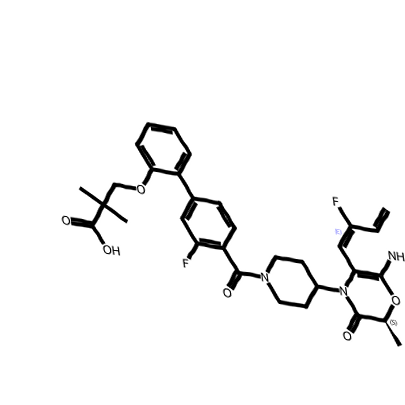 C=C/C(F)=C\C1=C(N)O[C@@H](C)C(=O)N1C1CCN(C(=O)c2ccc(-c3ccccc3OCC(C)(C)C(=O)O)cc2F)CC1